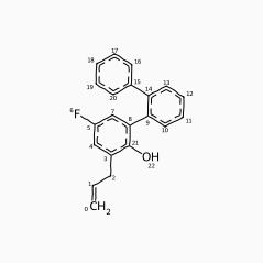 C=CCc1cc(F)cc(-c2ccccc2-c2ccccc2)c1O